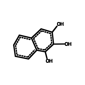 Oc1cc2ccccc2c(O)c1O